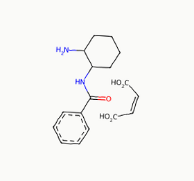 NC1CCCCC1NC(=O)c1ccccc1.O=C(O)/C=C\C(=O)O